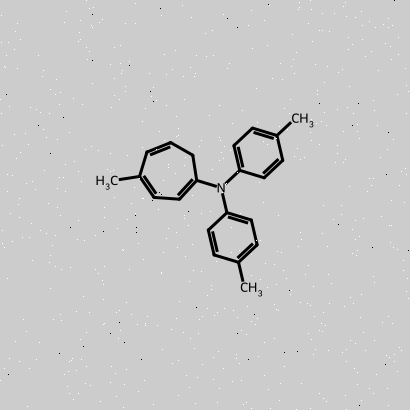 CC1=CC=C(N(c2ccc(C)cc2)c2ccc(C)cc2)CC=C1